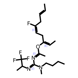 CC=CC/C(F)=C\C/C(=C\C)O/C(C)=N/C(=N\C(C)C(F)(F)F)N(C)CCCC